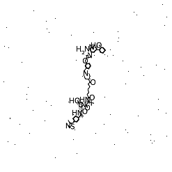 Cc1ncsc1-c1ccc([C@H](C)NC(=O)[C@@H]2C[C@@H](O)CN2C(=O)[C@@H](NC(=O)CCCCCC(=O)C2CCN(Cc3cccc(OC4CN(c5cc(-c6ccccc6O)nnc5N)C4)c3)CC2)C(C)(C)C)cc1